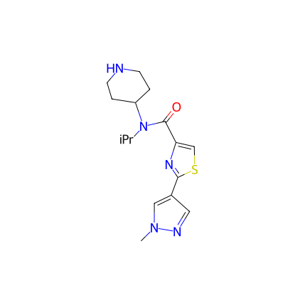 CC(C)N(C(=O)c1csc(-c2cnn(C)c2)n1)C1CCNCC1